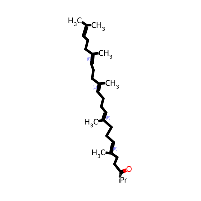 CC(C)=CCC/C(C)=C/CC/C(C)=C/CC/C=C(\C)CC/C=C(\C)CCC(=O)C(C)C